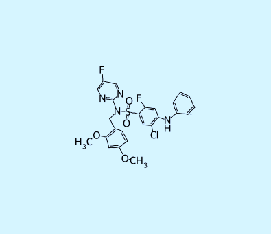 COc1ccc(CN(c2ncc(F)cn2)S(=O)(=O)c2cc(Cl)c(Nc3[c]cccc3)cc2F)c(OC)c1